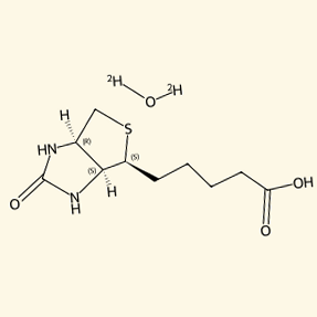 O=C(O)CCCC[C@@H]1SC[C@@H]2NC(=O)N[C@@H]21.[2H]O[2H]